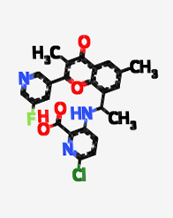 Cc1cc(C(C)Nc2ccc(Cl)nc2C(=O)O)c2oc(-c3cncc(F)c3)c(C)c(=O)c2c1